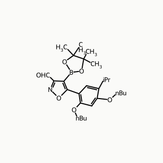 CCCCOc1cc(OCCCC)c(C(C)C)cc1-c1onc(C=O)c1B1OC(C)(C)C(C)(C)O1